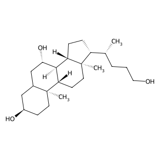 C[C@H](CCCO)[C@H]1CC[C@H]2[C@@H]3[C@@H](O)CC4C[C@H](O)CC[C@]4(C)[C@H]3CC[C@]12C